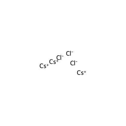 [Cl-].[Cl-].[Cl-].[Cs+].[Cs+].[Cs+]